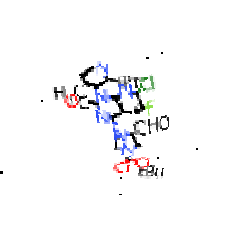 Cc1ccnc(C(C)C)c1N1C(=C=O)N=C(N2CCN(C(=O)OC(C)(C)C)CC2C=O)c2cc(F)c(Cl)nc21